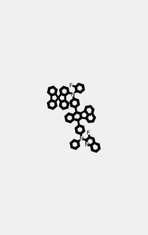 Fc1ccccc1N(c1ccc(-c2c3c(c(-c4ccc(N(c5ccccc5)c5nc6ccccc6cc5F)cc4)c4ccccc24)-c2cccc4cccc-3c24)cc1)c1cccc2c1-c1ccccc1C21c2ccccc2-c2ccccc21